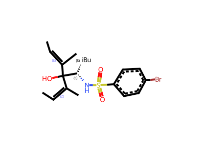 C/C=C(/C)C(O)(/C(C)=C/C)[C@@H](NS(=O)(=O)c1ccc(Br)cc1)[C@@H](C)CC